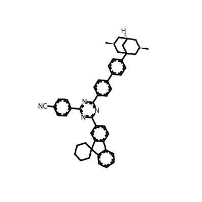 C[C@@H]1C[C@@H]2C[C@H](C)CC(c3ccc(-c4ccc(-c5nc(-c6ccc(C#N)cc6)nc(-c6ccc7c(c6)C6(CCCCC6)c6ccccc6-7)n5)cc4)cc3)(C1)C2